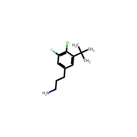 CC(C)(C)c1cc(CCCN)cc(F)c1Cl